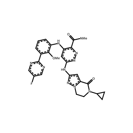 CNC(=O)c1nnc(Nc2cc3n(n2)CCN(C2CC2)C3=O)cc1Nc1cccc(-c2ncc(F)cn2)c1OC